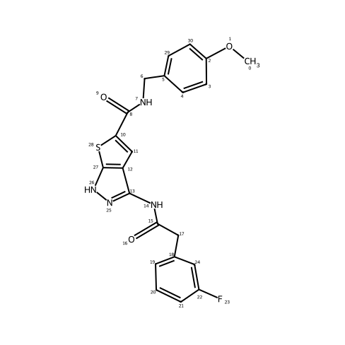 COc1ccc(CNC(=O)c2cc3c(NC(=O)Cc4cccc(F)c4)n[nH]c3s2)cc1